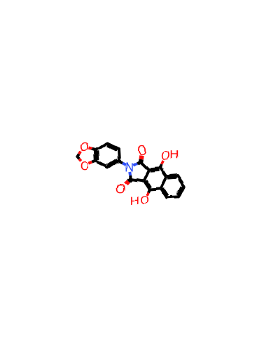 O=C1c2c(c(O)c3ccccc3c2O)C(=O)N1c1ccc2c(c1)OCO2